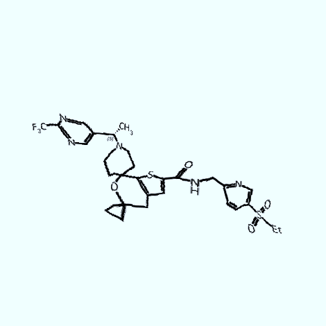 CCS(=O)(=O)c1ccc(CNC(=O)c2cc3c(s2)C2(CCN([C@@H](C)c4cnc(C(F)(F)F)nc4)CC2)OC2(CC2)C3)nc1